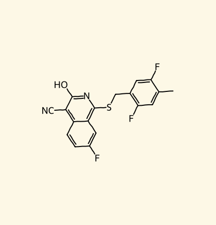 Cc1cc(F)c(CSc2nc(O)c(C#N)c3ccc(F)cc23)cc1F